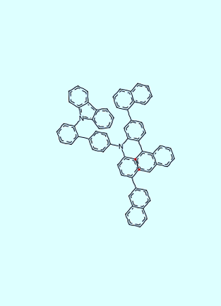 c1ccc(-n2c3ccccc3c3ccccc32)c(-c2ccc(N(c3ccc(-c4ccc5ccccc5c4)cc3)c3cc(-c4cccc5ccccc45)ccc3-c3cccc4ccccc34)cc2)c1